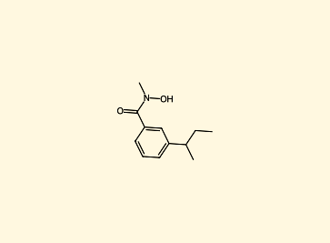 CCC(C)c1cccc(C(=O)N(C)O)c1